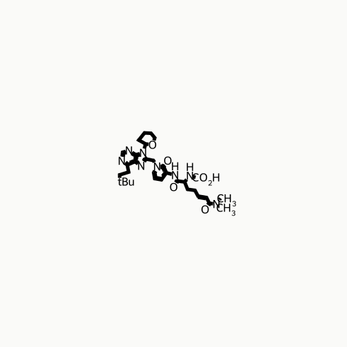 CN(C)C(=O)/C=C/CCC(NC(=O)O)C(=O)Nc1cccn(Cc2nc3c(CCC(C)(C)C)ncnc3n2C2CCCCO2)c1=O